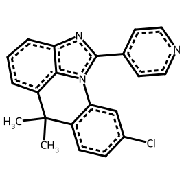 CC1(C)c2ccc(Cl)cc2-n2c(-c3ccncc3)nc3cccc1c32